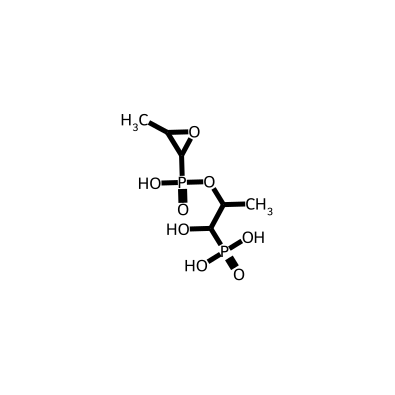 CC(OP(=O)(O)C1OC1C)C(O)P(=O)(O)O